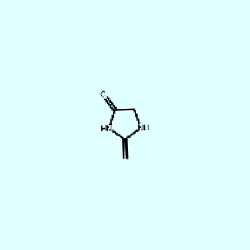 C=C1NCC(=O)N1